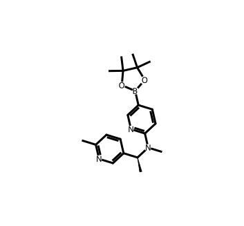 Cc1ccc([C@H](C)N(C)c2ccc(B3OC(C)(C)C(C)(C)O3)cn2)cn1